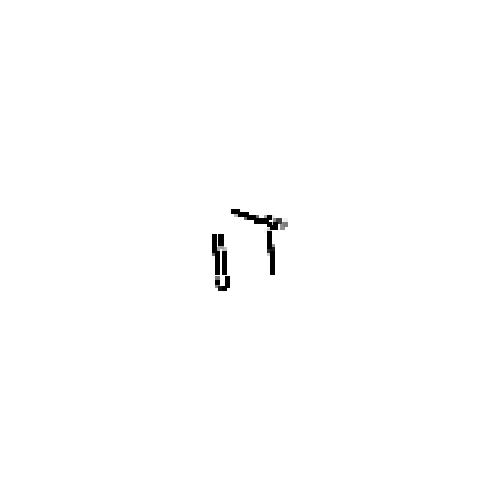 C=O.[CH3][Sn][CH3]